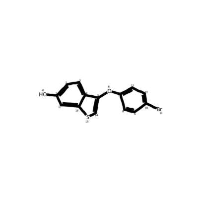 Oc1ccc2c(Oc3ccc(Br)cc3)[c]sc2c1